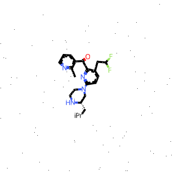 Cc1ncccc1C(=O)c1nc(N2CCN[C@@H](CC(C)C)C2)ccc1CC(F)F